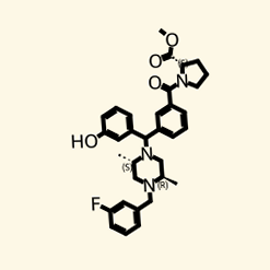 COC(=O)[C@@H]1CCCN1C(=O)c1cccc(C(c2cccc(O)c2)N2C[C@@H](C)N(Cc3cccc(F)c3)C[C@@H]2C)c1